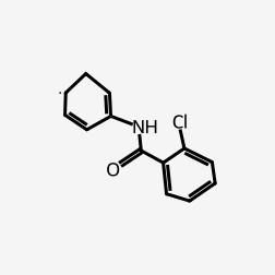 O=C(NC1=CC[CH]C=C1)c1ccccc1Cl